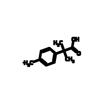 [CH2]c1ccc(C(C)(C)C(=O)O)cc1